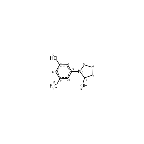 Oc1cc(N2CCCC2O)cc(C(F)(F)F)c1